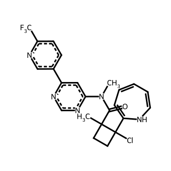 CN(C(=O)C1(C)CCC1(Cl)C1=CC=CC=CN1)c1cc(-c2ccc(C(F)(F)F)nc2)ncn1